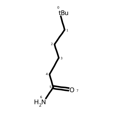 CC(C)(C)CCCCC(N)=O